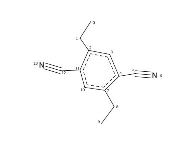 CCc1cc(C#N)c(CC)cc1C#N